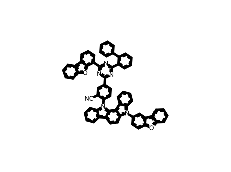 N#Cc1cc(-c2nc(-c3ccccc3-c3ccccc3)nc(-c3cccc4c3oc3ccccc34)n2)ccc1-n1c2ccccc2c2ccc3c(c4ccccc4n3-c3ccc4oc5ccccc5c4c3)c21